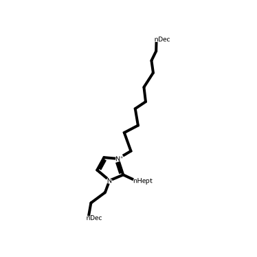 CCCCCCCCCCCCCCCCCCC[n+]1ccn(CCCCCCCCCCCC)c1CCCCCCC